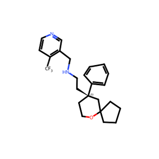 FC(F)(F)c1ccncc1CNCC[C@]1(c2ccccc2)CCOC2(CCCC2)C1